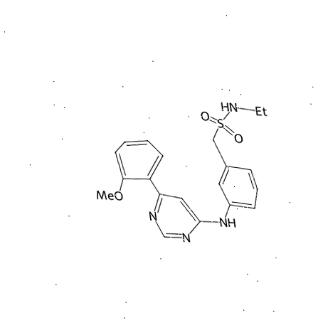 CCNS(=O)(=O)Cc1cccc(Nc2cc(-c3ccccc3OC)ncn2)c1